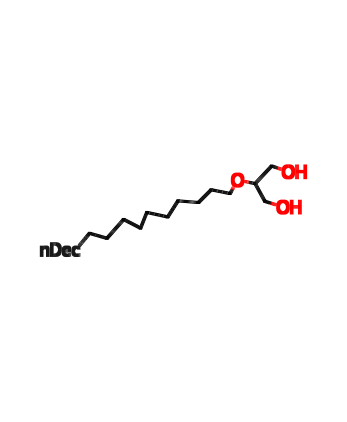 CCCCCCCCCCCCCCCCCCCCOC(CO)CO